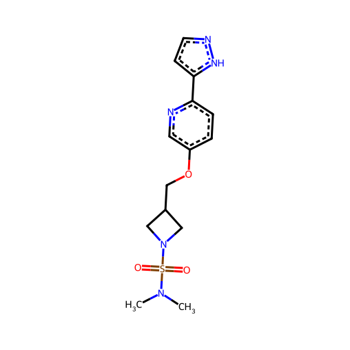 CN(C)S(=O)(=O)N1CC(COc2ccc(-c3ccn[nH]3)nc2)C1